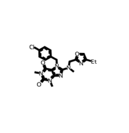 CCc1coc(CN(C)c2nc3c(c(=O)n(C)c(=O)n3C)n2Cc2ccc(Cl)cc2)n1